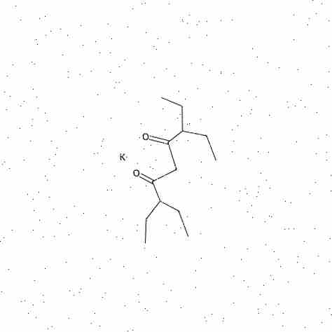 CCC(CC)C(=O)CC(=O)C(CC)CC.[K]